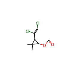 CC1(C)C(OC=O)C1C(Cl)=CCl